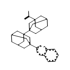 O=C(O)C12CC3CC(C1)CC(C14CC5CC(CC(c6nc7ccccc7o6)(C5)C1)C4)(C3)C2